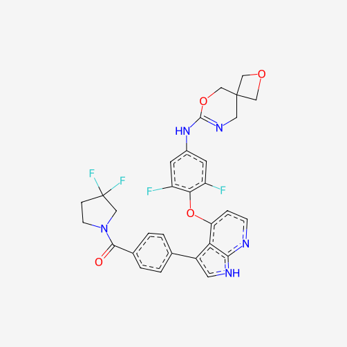 O=C(c1ccc(-c2c[nH]c3nccc(Oc4c(F)cc(NC5=NCC6(COC6)CO5)cc4F)c23)cc1)N1CCC(F)(F)C1